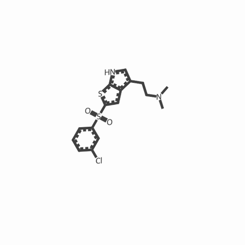 CN(C)CCc1c[nH]c2sc(S(=O)(=O)c3cccc(Cl)c3)cc12